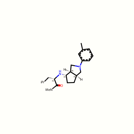 CNC(=O)[C@H](CC(C)C)N[C@H]1CC[C@@H]2CN(c3cccc(C)c3)C[C@@H]21